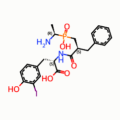 C[C@H](N)P(=O)(O)C[C@@H](Cc1ccccc1)C(=O)N[C@@H](Cc1ccc(O)c(I)c1)C(=O)O